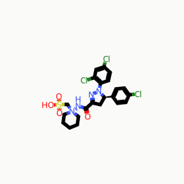 O=C(N[N+]1(CS(=O)(=O)O)CCCCC1)C1=NN(c2ccc(Cl)cc2Cl)[C@@H](c2ccc(Cl)cc2)C1